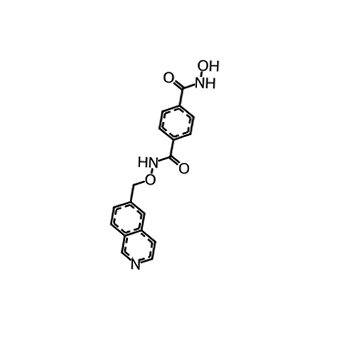 O=C(NO)c1ccc(C(=O)NOCc2ccc3cnccc3c2)cc1